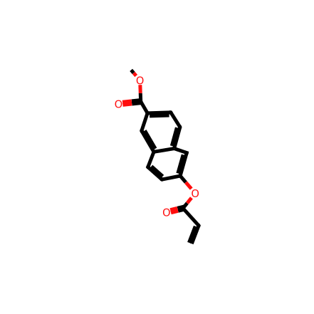 C=CC(=O)Oc1ccc2cc(C(=O)OC)ccc2c1